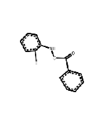 O=C(ONc1ccccc1I)c1ccccc1